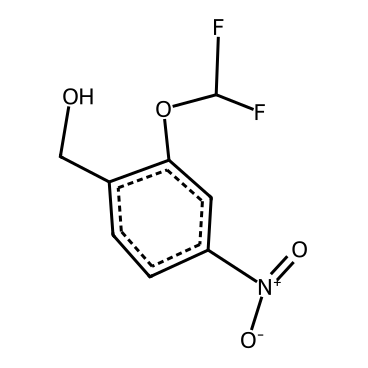 O=[N+]([O-])c1ccc(CO)c(OC(F)F)c1